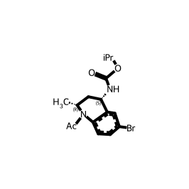 CC(=O)N1c2ccc(Br)cc2[C@@H](NC(=O)OC(C)C)C[C@H]1C